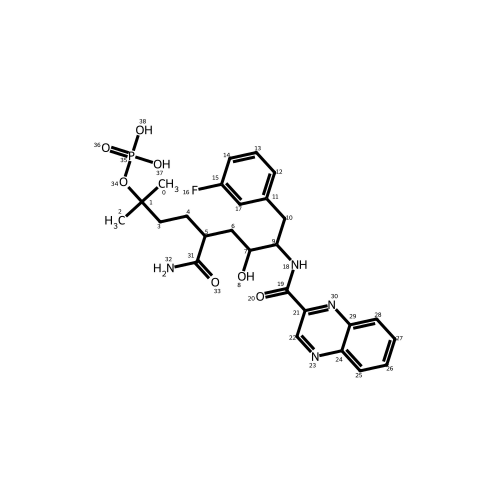 CC(C)(CCC(CC(O)C(Cc1cccc(F)c1)NC(=O)c1cnc2ccccc2n1)C(N)=O)OP(=O)(O)O